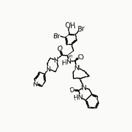 O=C(N[C@H](Cc1cc(Br)c(O)c(Br)c1)C(=O)N1CCN(c2ccncc2)CC1)N1CCC(N2Cc3ccccc3NC2=O)CC1